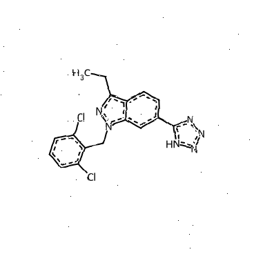 CCc1nn(Cc2c(Cl)cccc2Cl)c2cc(-c3nnn[nH]3)ccc12